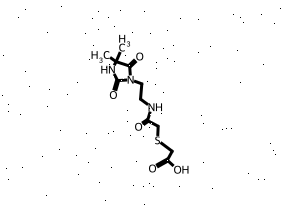 CC1(C)NC(=O)N(CCNC(=O)CSCC(=O)O)C1=O